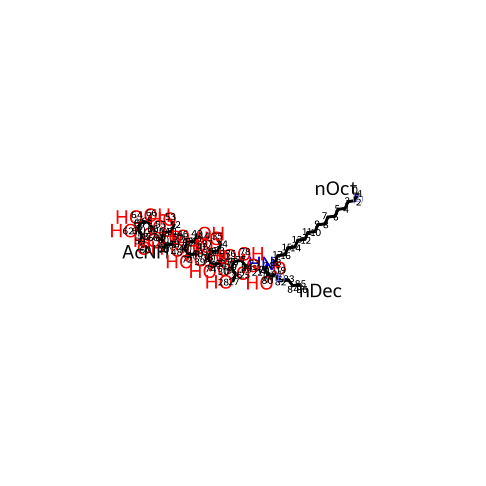 CCCCCCCC/C=C\CCCCCCCCCCCCCCCC(=O)N[C@@H](CO[C@@H]1OC(CO)[C@@H](O[C@@H]2OC(CO)[C@H](O)[C@H](O[C@H]3OC(CO)[C@H](O)[C@H](O[C@@H]4OC(CO)[C@@H](O[C@@H]5OC(CO)[C@H](O)[C@H](O)C5O)[C@H](O)C4NC(C)=O)C3O)C2O)[C@H](O)C1O)[C@H](O)/C=C/CCCCCCCCCCCCC